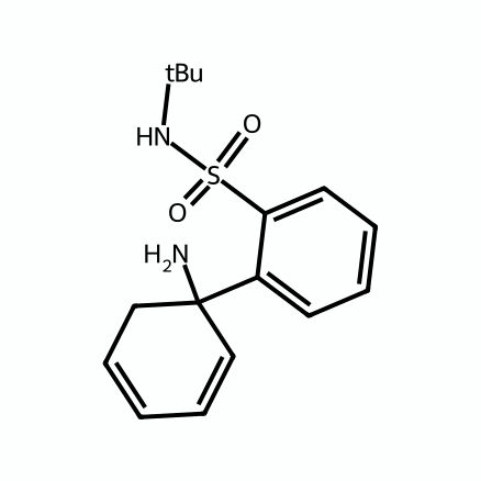 CC(C)(C)NS(=O)(=O)c1ccccc1C1(N)C=CC=CC1